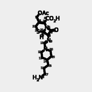 CC(=O)OCC1=C(C(=O)O)N2C(=O)[C@@H](N=CN3CCC(CCCN)CC3)[C@H]2SC1